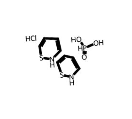 C1=CNSC=C1.C1=CNSC=C1.Cl.O=[PH](O)O